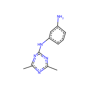 Cc1nc(C)nc(Nc2cccc(N)c2)n1